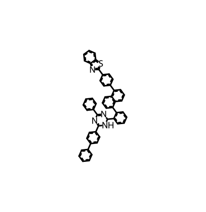 c1ccc(C2=NC(c3ccccc3-c3cccc4c(-c5ccc(-c6nc7ccccc7s6)cc5)cccc34)NC(c3ccc(-c4ccccc4)cc3)=N2)cc1